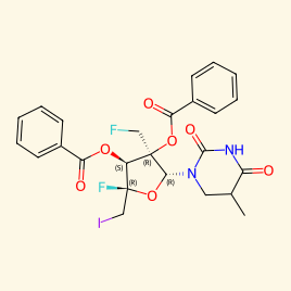 CC1CN([C@@H]2O[C@](F)(CI)[C@@H](OC(=O)c3ccccc3)[C@@]2(CF)OC(=O)c2ccccc2)C(=O)NC1=O